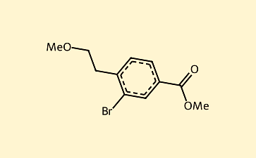 COCCc1ccc(C(=O)OC)cc1Br